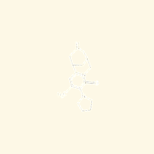 Cc1cc2n(c(=O)c1N1CCCC1)CC1CNCC2C1